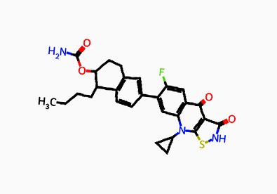 CCCCC1c2ccc(-c3cc4c(cc3F)c(=O)c3c(=O)[nH]sc3n4C3CC3)cc2CCC1OC(N)=O